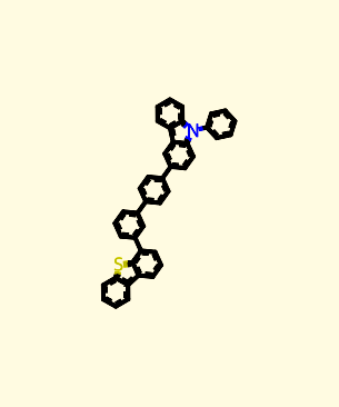 c1ccc(-n2c3ccccc3c3cc(-c4ccc(-c5cccc(-c6cccc7c6sc6ccccc67)c5)cc4)ccc32)cc1